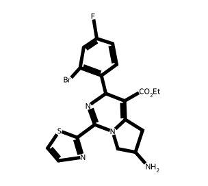 CCOC(=O)C1=C2CC(N)CN2C(c2nccs2)=NC1c1ccc(F)cc1Br